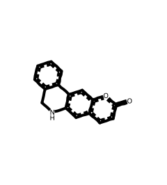 O=c1ccc2cc3c(cc2o1)-c1ccccc1CN3